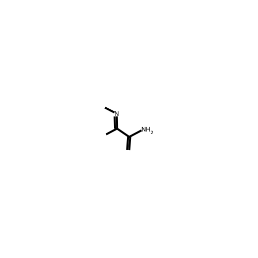 C=C(N)/C(C)=N/C